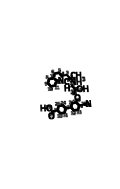 CC(C)(Cc1ccc2ccccc2n1)NC[C@H](O)COc1cc(-c2ccc(C(=O)O)cc2)ccc1C#N